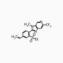 C=Cc1ccc(-c2nc3cc(C(F)(F)F)ncc3n2C)c(S(=O)(=O)CC)c1